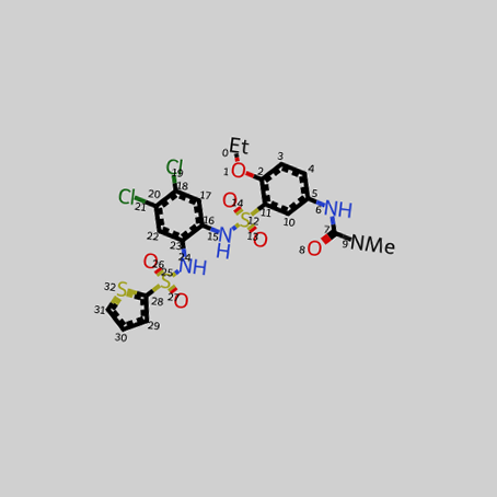 CCOc1ccc(NC(=O)NC)cc1S(=O)(=O)Nc1cc(Cl)c(Cl)cc1NS(=O)(=O)c1cccs1